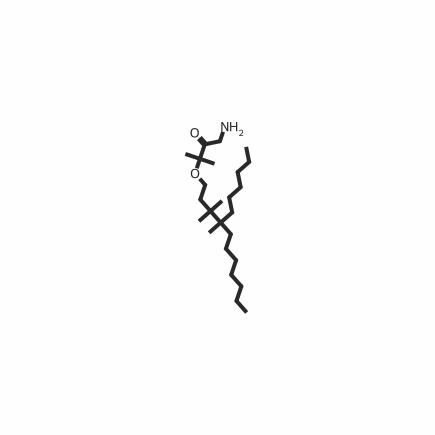 CCCCCCCC(C)(CCCCCC)C(C)(C)CCOC(C)(C)C(=O)CN